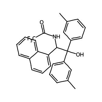 Cc1cccc(C(O)(c2cccc(C)c2)C(NC(=O)C(F)(F)F)c2cccc3ccccc23)c1